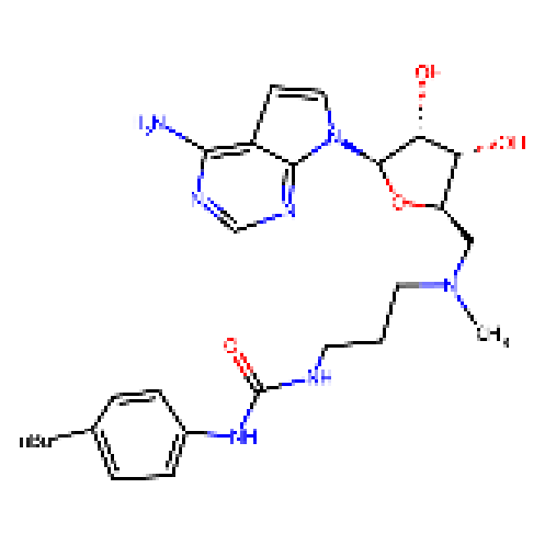 CCCCc1ccc(NC(=O)NCCCN(C)C[C@H]2O[C@@H](n3ccc4c(N)ncnc43)[C@H](O)[C@@H]2O)cc1